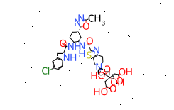 Cc1nnc([C@H]2CC[C@H](NC(=O)c3cc4cc(Cl)ccc4[nH]3)[C@H](NC(=O)c3nc4c(s3)CN(C)CC4)C2)o1.O=C(O)CC(O)(CC(=O)O)C(=O)O